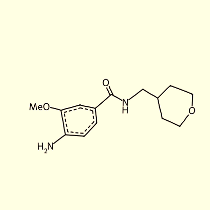 COc1cc(C(=O)NCC2CCOCC2)ccc1N